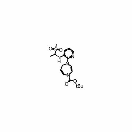 CC(Nc1cccnc1N1C=CN(C(=O)OC(C)(C)C)C=CC1)S(C)(=O)=O